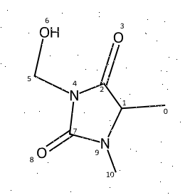 CC1C(=O)N(CO)C(=O)N1C